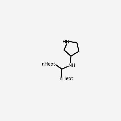 CCCCCCCC(CCCCCCC)NC1CCNC1